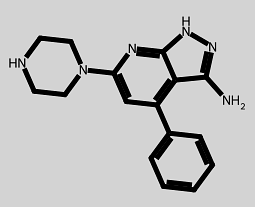 Nc1n[nH]c2nc(N3CCNCC3)cc(-c3ccccc3)c12